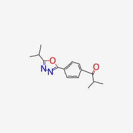 CC(C)C(=O)c1ccc(-c2nnc(C(C)C)o2)cc1